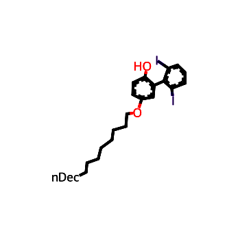 CCCCCCCCCCCCCCCCCCOc1ccc(O)c(-c2c(I)cccc2I)c1